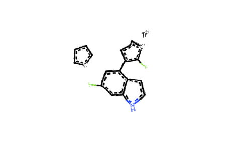 Fc1cc(-c2cc[cH-]c2F)c2cc[nH]c2c1.[Ti+2].c1cc[cH-]c1